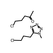 CC(=O)CCCCl.Cn1nnnc1CCCCl